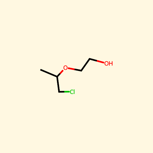 CC(CCl)OCCO